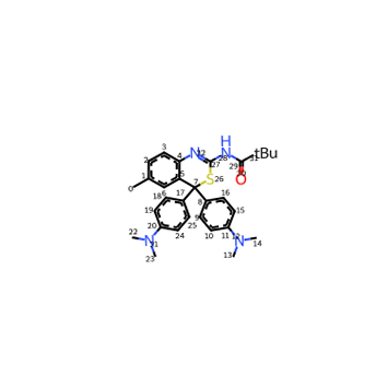 Cc1ccc2c(c1)C(c1ccc(N(C)C)cc1)(c1ccc(N(C)C)cc1)SC(NC(=O)C(C)(C)C)=N2